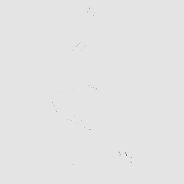 C=C(C(=O)O)c1ccc2cc(OC)ccc2c1